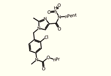 CCCCCN(C(=O)c1cn(Cc2ccc(N(C)C(=O)OCCC)cc2Cl)c(C)n1)[SH](=O)=O